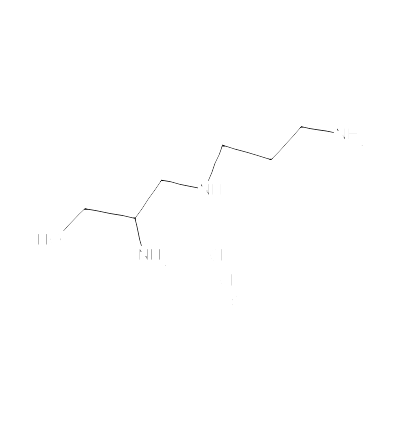 Cl.Cl.Cl.NCCCNCC(N)CO